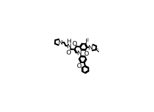 C[C@@H]1CCN(c2c(F)cc3c(=O)c(C(=O)NCCN4CCCC4)cn4c3c2Oc2cc3c(cc2-4)oc2ccccc23)C1